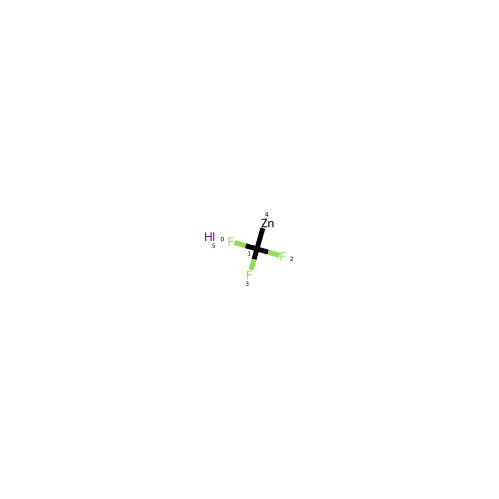 F[C](F)(F)[Zn].I